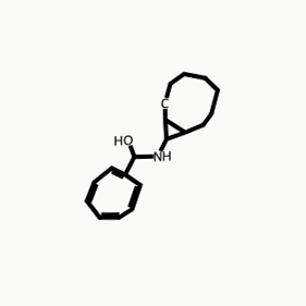 OC(NC1C2CCCCCCCC21)C1=C/C=C\C=C/C=C\1